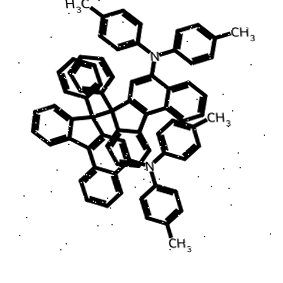 Cc1ccc(N(c2ccc(C)cc2)c2cc3c(c4ccccc24)-c2ccccc2C3(c2ccccc2)C2(c3ccccc3)c3ccccc3-c3c2cc(N(c2ccc(C)cc2)c2ccc(C)cc2)c2ccccc32)cc1